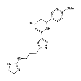 COc1ccc(C(CC(=O)O)NC(=O)c2cnn(CCCNC3=NCCN3)c2)cn1